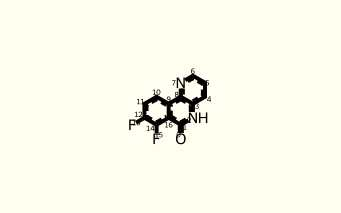 O=c1[nH]c2cccnc2c2ccc(F)c(F)c12